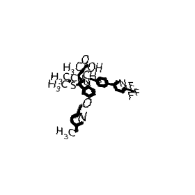 CCc1ccc(COc2ccc3c(c2)c(SC(C)(C)C)c(CC(C)(C)C(=O)O)n3Cc2ccc(-c3ccc(C(F)(F)F)nc3)cc2)nc1